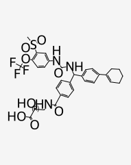 CS(=O)(=O)c1cc(NC(=O)NC(c2ccc(C(=O)NC[C@@H](O)C(=O)O)cc2)c2ccc(C3=CCCCC3)cc2)ccc1OC(F)(F)F